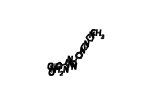 CN1CCC(N2CCN(c3ccc(-c4cnn5c(N)c(-c6ccc([N+](=O)[O-])cc6)cnc45)cc3)CC2)CC1